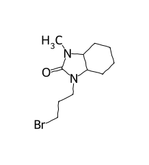 CN1C(=O)N(CCCBr)C2CCCCC21